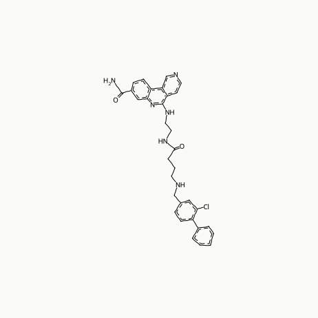 NC(=O)c1ccc2c(c1)nc(NCCNC(=O)CCCNCc1ccc(-c3ccccc3)c(Cl)c1)c1ccncc12